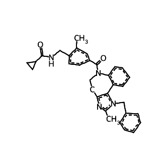 Cc1cc(C(=O)N2CCc3nc(C)n(Cc4ccccc4)c3-c3ccccc32)ccc1CNC(=O)C1CC1